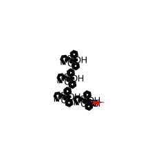 C[N+]1(C)CCCC(OC(=O)C(O)(c2ccccc2)c2ccccc2)C1.C[N+]1(C)CCCC(OC(=O)C(O)(c2ccccc2)c2ccccc2)C1.C[N+]1(C)CCCC(OC(=O)C(O)(c2ccccc2)c2ccccc2)C1.C[N+]1(C)CCCC(OC(=O)C(O)(c2ccccc2)c2ccccc2)C1.[Br-].[Br-].[Br-].[Br-]